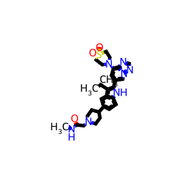 CNC(=O)CN1CCC(c2ccc3[nH]c(-c4cc(N5CCS(=O)(=O)CC5)c5ncnn5c4)c(C(C)C)c3c2)CC1